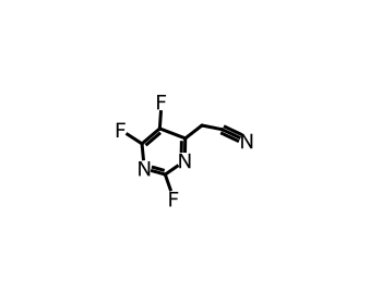 N#CCc1nc(F)nc(F)c1F